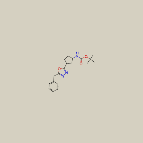 CC(C)(C)OC(=O)NC1CCC(c2nnc(Cc3ccccc3)o2)C1